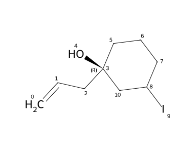 C=CC[C@]1(O)CCCC(I)C1